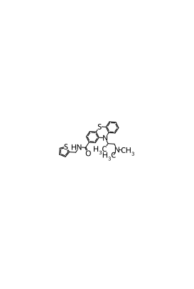 C[C@H](CN(C)C)N1c2ccccc2Sc2ccc(C(=O)NCc3cccs3)cc21